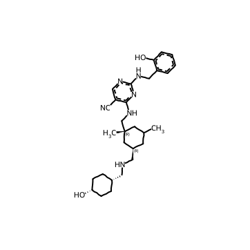 CC1C[C@@H](CNC[C@H]2CC[C@@H](O)CC2)C[C@](C)(CNc2nc(NCc3ccccc3O)ncc2C#N)C1